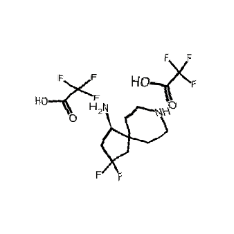 N[C@@H]1CC(F)(F)CC12CCNCC2.O=C(O)C(F)(F)F.O=C(O)C(F)(F)F